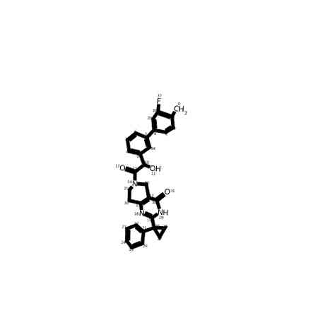 Cc1ccc(-c2cccc(C(O)C(=O)N3CCc4nc(C5(c6ccccc6)CC5)[nH]c(=O)c4C3)c2)cc1F